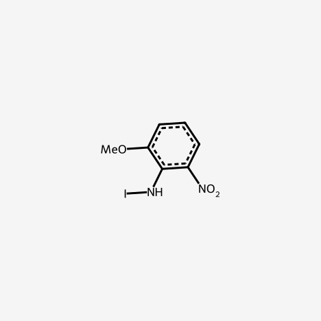 COc1cccc([N+](=O)[O-])c1NI